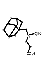 O=CN(CCC(=O)O)CC12CC3CC(CC(C3)C1)C2